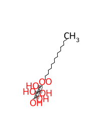 CCCCCCCCCCCCCCCC(=O)OC[C@@H](O)[C@@H](O)[C@H](O)[C@H](O)CO